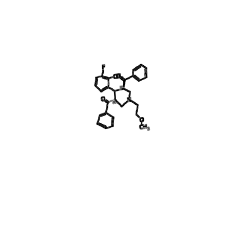 COCCN1C[C@H](C(=O)c2ccccc2)C(c2cccc(F)c2C)[C@@H](C(=O)c2ccccc2)C1